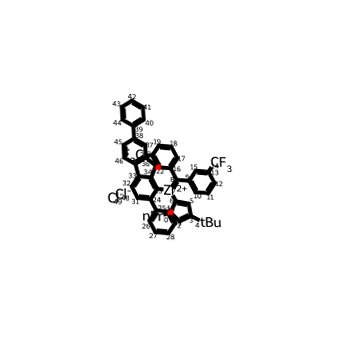 CCCC1C=C(C(C)(C)C)C=[C]1[Zr+2](=[C](c1cccc(C(F)(F)F)c1)c1cccc(C(F)(F)F)c1)[c]1c(-c2ccccc2)ccc2c1Cc1cc(-c3ccccc3)ccc1-2.[Cl-].[Cl-]